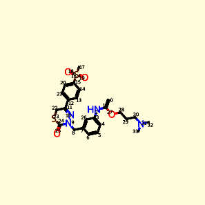 C=C(Nc1cccc(CN2N=C(c3ccc(S(C)(=O)=O)cc3)CSC2=O)c1)OCCCN(C)C